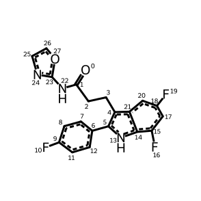 O=C(CCc1c(-c2ccc(F)cc2)[nH]c2c(F)cc(F)cc12)Nc1ncco1